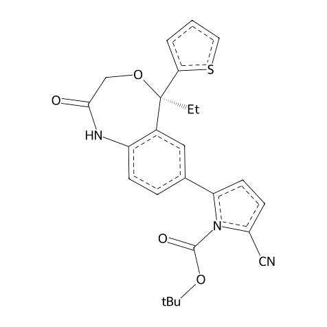 CC[C@@]1(c2cccs2)OCC(=O)Nc2ccc(-c3ccc(C#N)n3C(=O)OC(C)(C)C)cc21